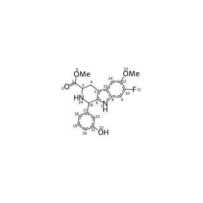 COC(=O)C1Cc2c([nH]c3cc(F)c(OC)cc23)C(c2cccc(O)c2)N1